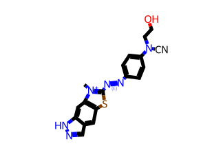 C[n+]1c(/N=N/c2ccc(N(C#N)CCO)cc2)sc2cc3cn[nH]c3cc21